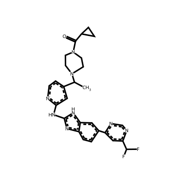 CC(c1ccnc(Nc2nc3ccc(-c4cc(C(F)F)ncn4)cc3[nH]2)c1)N1CCN(C(=O)C2CC2)CC1